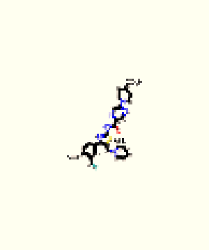 COc1ccc(-c2nc(NC(=O)c3cnc(N4CCC(C(=O)O)CC4)cn3)sc2CN2CCCC[C@H]2C)cc1CF